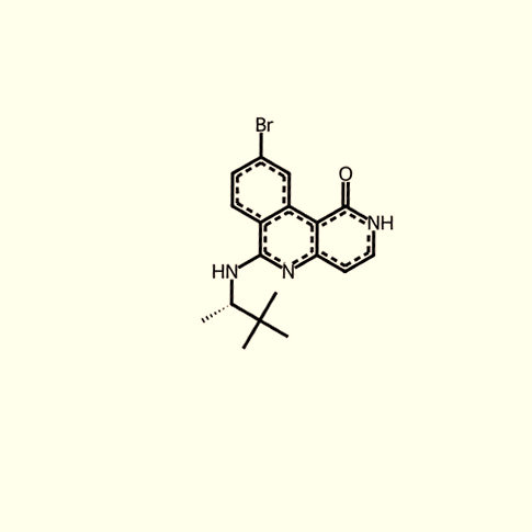 C[C@H](Nc1nc2cc[nH]c(=O)c2c2cc(Br)ccc12)C(C)(C)C